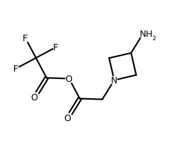 NC1CN(CC(=O)OC(=O)C(F)(F)F)C1